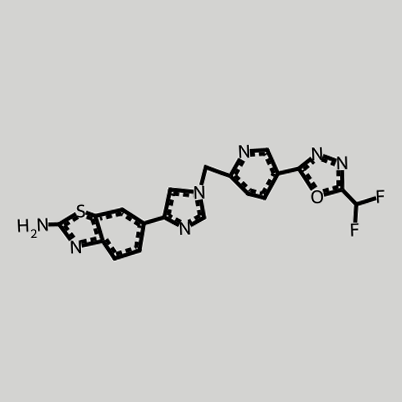 Nc1nc2ccc(-c3cn(Cc4ccc(-c5nnc(C(F)F)o5)cn4)cn3)cc2s1